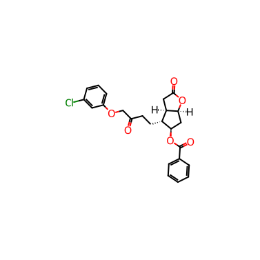 O=C(CC[C@@H]1[C@H]2CC(=O)O[C@H]2C[C@H]1OC(=O)c1ccccc1)COc1cccc(Cl)c1